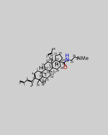 C=C/C=C(\C)C1=CC[C@]2(C)[C@H]3CC[C@@H]4[C@H]5[C@H](C(=C)C)CC[C@]5(C(=O)NCCNC)CC[C@@]4(C)[C@]3(C)CC[C@H]2C1(C)C